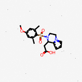 COc1cc(C)c(S(=O)(=O)N2CCn3cccc3C2CC(=O)O)c(C)c1